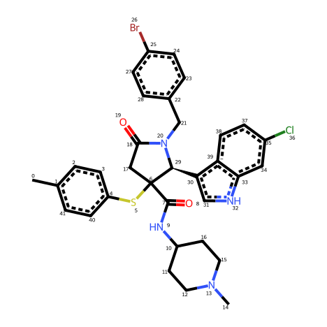 Cc1ccc(SC2(C(=O)NC3CCN(C)CC3)CC(=O)N(Cc3ccc(Br)cc3)[C@H]2c2c[nH]c3cc(Cl)ccc23)cc1